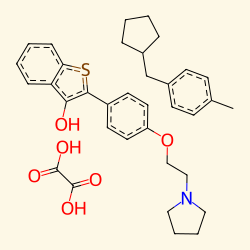 Cc1ccc(CC2CCCC2)cc1.O=C(O)C(=O)O.Oc1c(-c2ccc(OCCN3CCCC3)cc2)sc2ccccc12